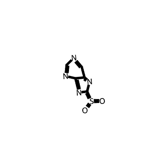 O=S(=O)=C1N=c2cncnc2=N1